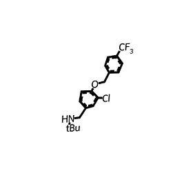 CC(C)(C)NCc1ccc(OCc2ccc(C(F)(F)F)cc2)c(Cl)c1